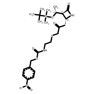 C[C@@H](O[Si](C)(C)C(C)(C)C)[C@H]1C(=O)N[C@@H]1CC(=O)CSCCNC(=O)OCc1ccc([N+](=O)[O-])cc1